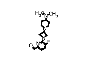 CN(C)C1CCN(C2CN(c3nc(C=O)ccc3F)C2)CC1